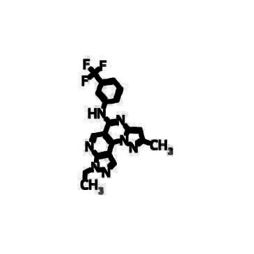 CCn1ncc2c1ncc1c(Nc3cccc(C(F)(F)F)c3)nc3cc(C)nn3c12